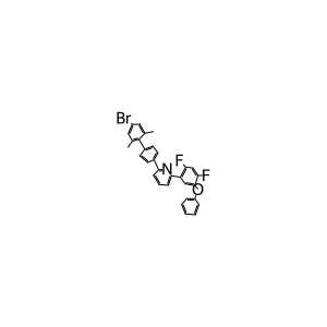 Cc1cc(Br)cc(C)c1-c1ccc(-c2cccc(-c3cc(Oc4ccccc4)c(F)cc3F)n2)cc1